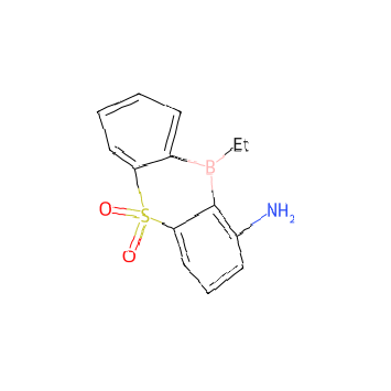 CCB1c2ccccc2S(=O)(=O)c2cccc(N)c21